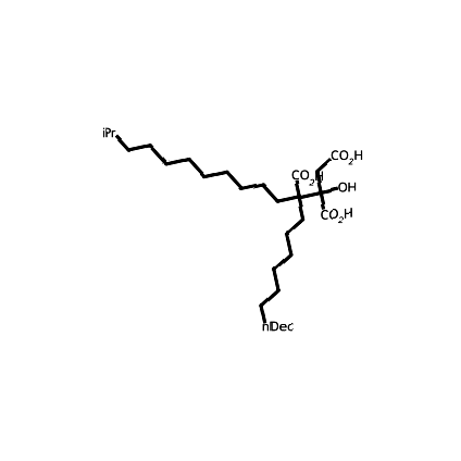 CCCCCCCCCCCCCCCCC(CCCCCCCCCC(C)C)(C(=O)O)C(O)(CC(=O)O)C(=O)O